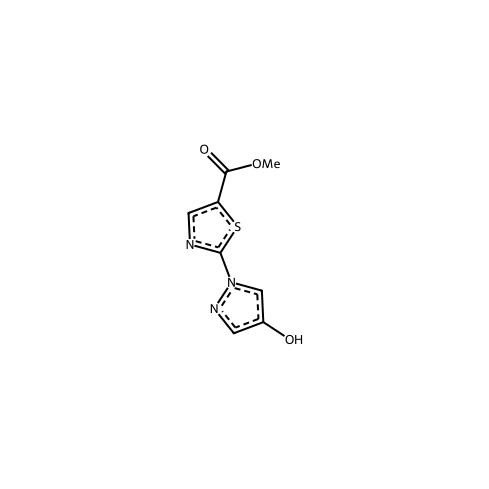 COC(=O)c1cnc(-n2cc(O)cn2)s1